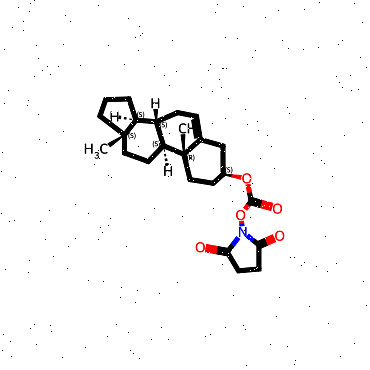 C[C@@]12CCC[C@H]1[C@@H]1CC=C3C[C@@H](OC(=O)ON4C(=O)CCC4=O)CC[C@]3(C)[C@H]1CC2